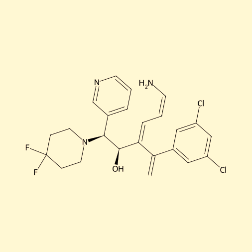 C=C(/C(=C\C=C/N)[C@@H](O)[C@H](c1cccnc1)N1CCC(F)(F)CC1)c1cc(Cl)cc(Cl)c1